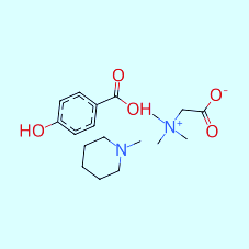 CN1CCCCC1.C[N+](C)(C)CC(=O)[O-].O=C(O)c1ccc(O)cc1